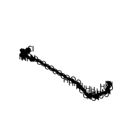 Cc1sc2c(c1C)C(c1ccc(Cl)cc1)=N[C@@H](CC(=O)Nc1ccc(OCCOCCOCCOCCOCCOCCOCCOCCOCCNC(=O)CCNC(=O)c3nc(NC(=O)CCNC(=O)c4cc(NC(=O)c5nc(NC(=O)CCNC(=O)c6cc(NC(=O)c7nccn7C)cn6C)cn5C)cn4C)cn3C)nc1)c1nnc(C)n1-2